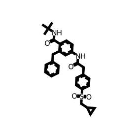 CC(C)(C)NC(=O)c1ccc(NC(=O)Cc2ccc(S(=O)(=O)CC3CC3)cc2)cc1Cc1ccccc1